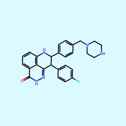 O=c1[nH]nc2c3c(cccc13)NC(c1ccc(CN3CCNCC3)cc1)C2c1ccc(F)cc1